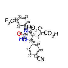 CC1=C(CC(C(=O)O)C(=O)O)[C@H](c2ccc(C#N)cc2)NC(=O)N1c1cccc(C(F)(F)F)c1